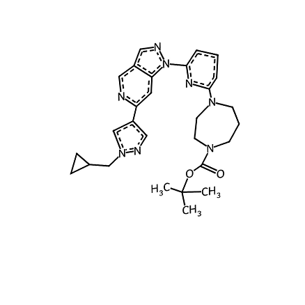 CC(C)(C)OC(=O)N1CCCN(c2cccc(-n3ncc4cnc(-c5cnn(CC6CC6)c5)cc43)n2)CC1